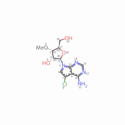 CO[C@H]1[C@@H](O)[C@H](n2cc(Cl)c3c(N)ncnc32)O[C@@H]1CO